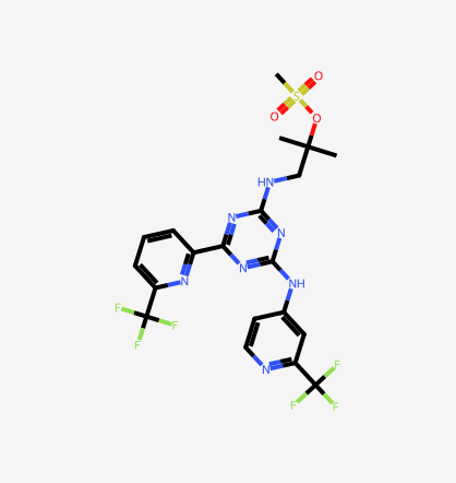 CC(C)(CNc1nc(Nc2ccnc(C(F)(F)F)c2)nc(-c2cccc(C(F)(F)F)n2)n1)OS(C)(=O)=O